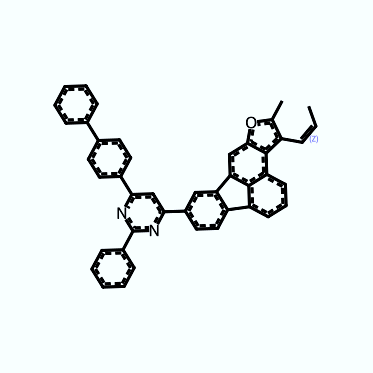 C/C=C\c1c(C)oc2cc3c4c(cccc4c12)-c1ccc(-c2cc(-c4ccc(-c5ccccc5)cc4)nc(-c4ccccc4)n2)cc1-3